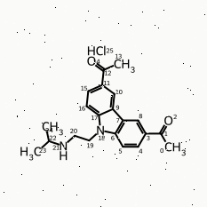 CC(=O)c1ccc2c(c1)c1cc(C(C)=O)ccc1n2CCNC(C)C.Cl